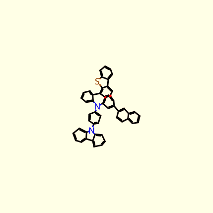 c1cc(-c2ccc3ccccc3c2)cc(N(c2ccc(-n3c4ccccc4c4ccccc43)cc2)c2ccccc2-c2cccc3c2sc2ccccc23)c1